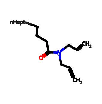 C=CCN(CC=C)C(=O)CCCCCCCCCC